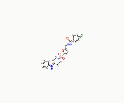 O=C(NCc1ccc(S(=O)(=O)N2CCC(Nc3ccccc3)CC2)o1)c1ccc(Cl)cc1